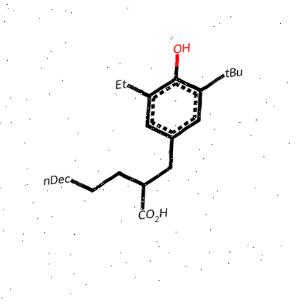 CCCCCCCCCCCCC(Cc1cc(CC)c(O)c(C(C)(C)C)c1)C(=O)O